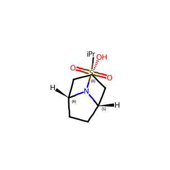 CC(C)S(=O)(=O)N1[C@@H]2CC[C@H]1C[C@@H](O)C2